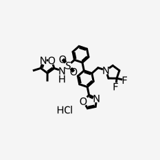 Cc1noc(NS(=O)(=O)c2ccccc2-c2ccc(-c3ncco3)cc2CN2CCC(F)(F)C2)c1C.Cl